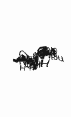 C=CCNC(=O)C(=O)C(CCC)NC(=O)C1[C@@H]2[C@H](CN1C(=O)[C@@H](NC(=O)N[C@H](CN(C)S(C)(=O)=O)C(C)(C)C)C1(C)CCCCC1)C2(C)C